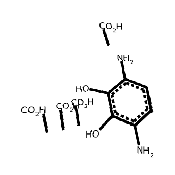 CC(=O)O.CC(=O)O.CC(=O)O.CC(=O)O.Nc1ccc(N)c(O)c1O